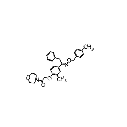 Cc1ccc(CO/N=C(\Cc2ccccc2)c2ccc(OCC(=O)N3CCOCC3)c(C)c2)cc1